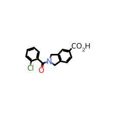 O=C(O)c1ccc2c(c1)CN(C(=O)c1ccccc1Cl)C2